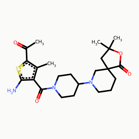 CC(=O)c1sc(N)c(C(=O)N2CCC(N3CCCC4(C3)CC(C)(C)OC4=O)CC2)c1C